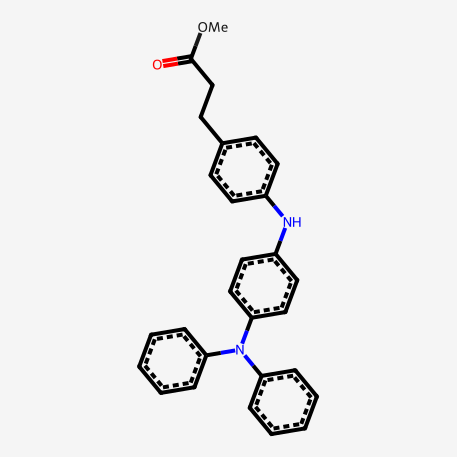 COC(=O)CCc1ccc(Nc2ccc(N(c3ccccc3)c3ccccc3)cc2)cc1